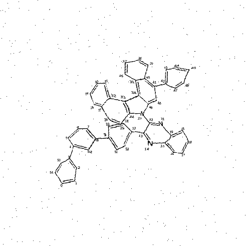 c1ccc(-c2cccc(-c3ccc(-c4nc5ccccc5nc4-n4c5ccc6ccccc6c5c5c6ccccc6c(-c6ccccc6)cc54)cc3)c2)cc1